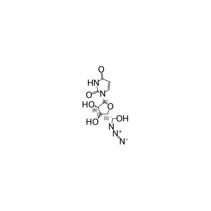 [N-]=[N+]=NC(O)[C@H]1O[C@@H](n2ccc(=O)[nH]c2=O)[C@H](O)[C@@H]1O